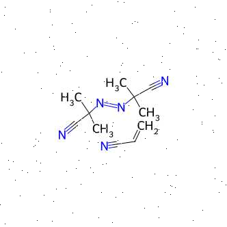 C=CC#N.CC(C)(C#N)N=NC(C)(C)C#N